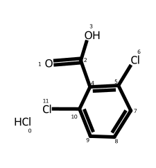 Cl.O=C(O)c1c(Cl)cccc1Cl